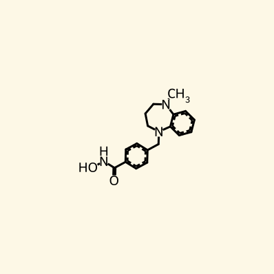 CN1CCCN(Cc2ccc(C(=O)NO)cc2)c2ccccc21